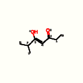 CCC(=O)C=C(O)C(C)C